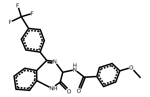 COc1ccc(C(=O)NC2N=C(c3ccc(C(F)(F)F)cc3)c3ccccc3NC2=O)cc1